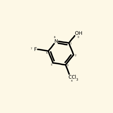 Oc1cc(C(Cl)(Cl)Cl)cc(F)n1